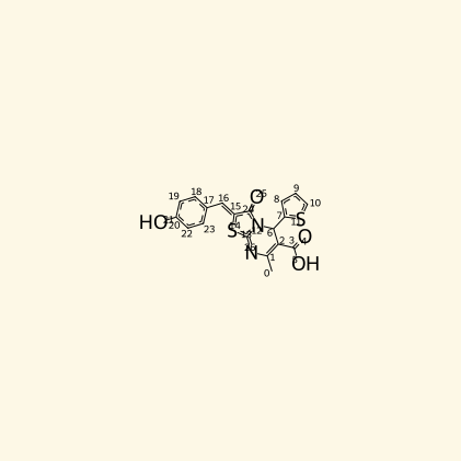 CC1=C(C(=O)O)C(c2cccs2)n2c(sc(=Cc3ccc(O)cc3)c2=O)=N1